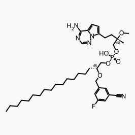 CCCCCCCCCCCCCCCC[C@H](COP(=O)(O)OC[C@](C)(CCc1ccc2c(N)ncnn12)OC)OCc1cc(F)cc(C#N)c1